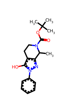 CC1c2nn(-c3ccccc3)c(O)c2CCN1C(=O)OC(C)(C)C